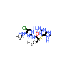 CC[C@H](Sc1nc(N)nc2nc[nH]c12)C(=O)Nc1ncc(Cl)c(NC)n1